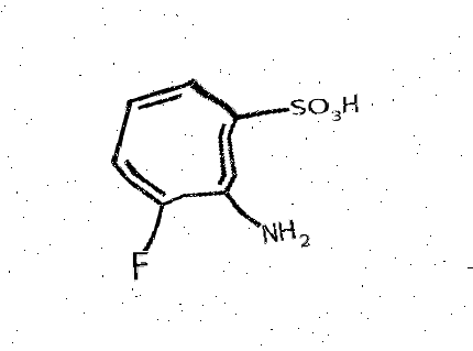 Nc1c(F)cccc1S(=O)(=O)O